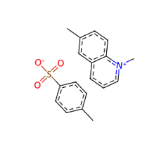 Cc1ccc(S(=O)(=O)[O-])cc1.Cc1ccc2c(ccc[n+]2C)c1